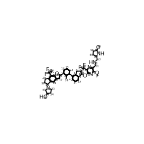 COc1nc(O[C@H]2CCc3c(-c4cccc(-c5cc6cc7c(c(C(F)(F)F)c6o5)CC[C@H]7N5CC[C@@H](O)C5)c4C)cccc32)c(C(F)(F)F)nc1CNC[C@H]1CCC(=O)N1